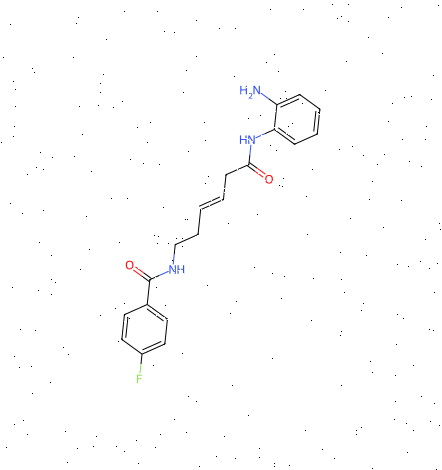 Nc1ccccc1NC(=O)C/C=C/CCNC(=O)c1ccc(F)cc1